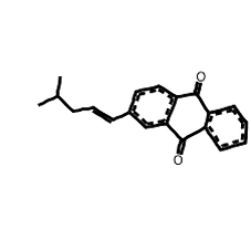 CC(C)C/C=C/c1ccc2c(c1)C(=O)c1ccccc1C2=O